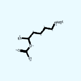 CCCCCCCCCCCC(CC)OC(=O)CC